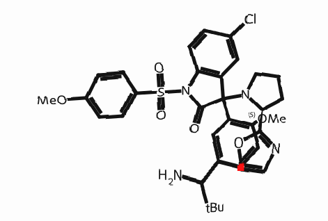 COc1ccc(S(=O)(=O)N2C(=O)C(c3cc(C(N)C(C)(C)C)ccc3OC)(N3CCC[C@H]3c3ncco3)c3cc(Cl)ccc32)cc1